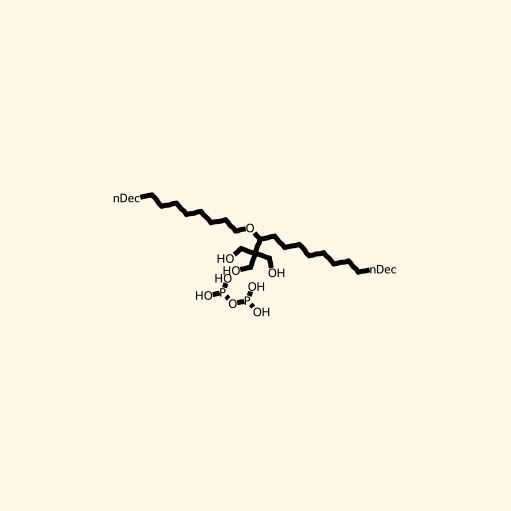 CCCCCCCCCCCCCCCCCCOC(CCCCCCCCCCCCCCCCCC)C(CO)(CO)CO.OP(O)OP(O)O